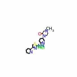 CN1CCN(c2ccc(Nc3nc(-c4ccccn4)cs3)nc2)C(=O)C1.Cl.Cl